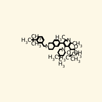 Cc1nc(C)c(C(OC(C)(C)C)C(=O)O)c(N2CCC(C)(C)CC2)c1-c1ccc2c(c1)CCN(Cc1cccc(C(C)(C)C)c1)C2